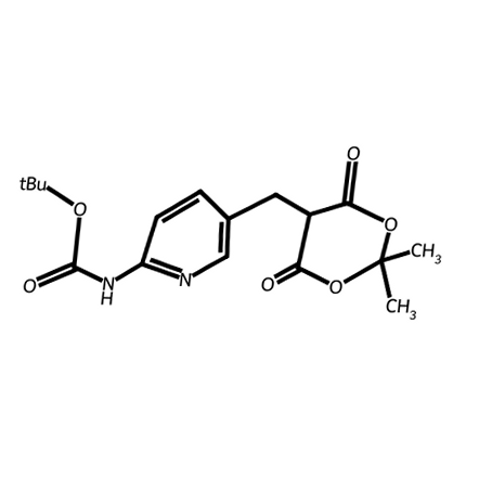 CC(C)(C)OC(=O)Nc1ccc(CC2C(=O)OC(C)(C)OC2=O)cn1